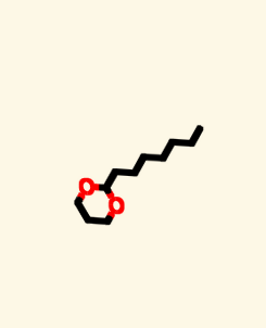 CCCCCCCC1OCCCO1